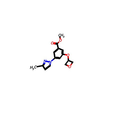 COC(=O)c1cc(OC2COC2)cc(-n2ccc(C)n2)c1